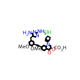 COc1cc(Cc2cnc(N)nc2N)cc(C#Cc2ccc3c(=O)c(OC(=O)O)cn(C4CC5CCC4C5)c3c2)c1OC.Cl